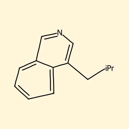 CC(C)Cc1cncc2ccccc12